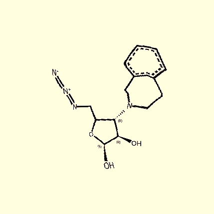 [N-]=[N+]=NCC1O[C@H](O)[C@H](O)[C@H]1N1CCc2ccccc2C1